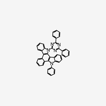 c1ccc(-c2nc(-c3ccccc3)nc(-n3c4ccccc4c4c5ccccc5c5c(c6ccccc6n5-c5ccccc5)c43)n2)cc1